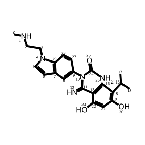 CNCCn1ccc2cc(N(C(=N)c3cc(C(C)C)c(O)cc3O)C(N)=O)ccc21